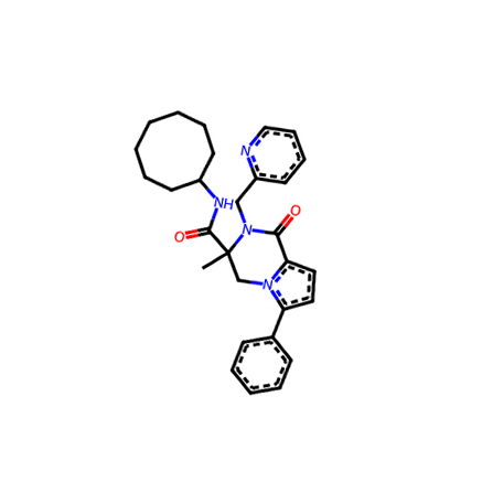 CC1(C(=O)NC2CCCCCCC2)Cn2c(ccc2-c2ccccc2)C(=O)N1Cc1ccccn1